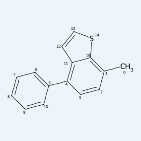 Cc1ccc(-c2ccccc2)c2ccsc12